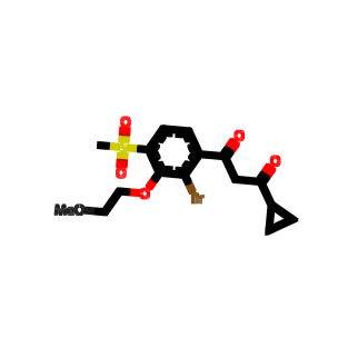 COCCOc1c(S(C)(=O)=O)ccc(C(=O)CC(=O)C2CC2)c1Br